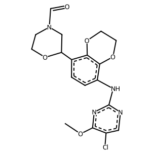 COc1nc(Nc2ccc(C3CN(C=O)CCO3)c3c2OCCO3)ncc1Cl